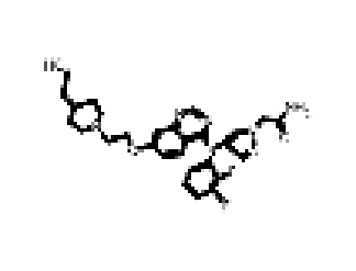 NC(=O)Cn1cc(N(c2cccc(F)c2F)c2ncnc3cc(OCCN4CCC(CCO)CC4)ccc23)cn1